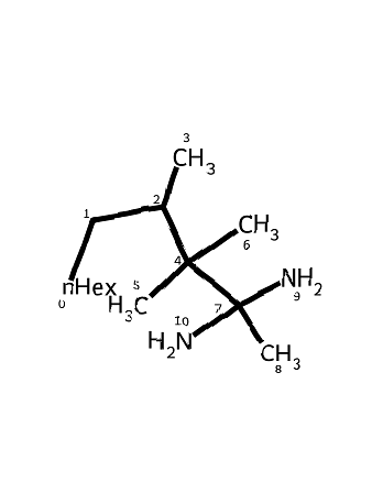 CCCCCCCC(C)C(C)(C)C(C)(N)N